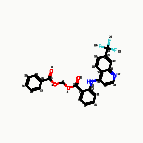 O=C(OCOC(=O)c1ccccc1Nc1ccnc2cc(C(F)(F)F)ccc12)c1ccccc1